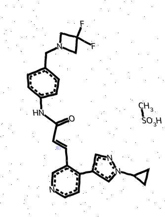 CS(=O)(=O)O.O=C(/C=C/c1cnccc1-c1cnn(C2CC2)c1)Nc1ccc(CN2CC(F)(F)C2)cc1